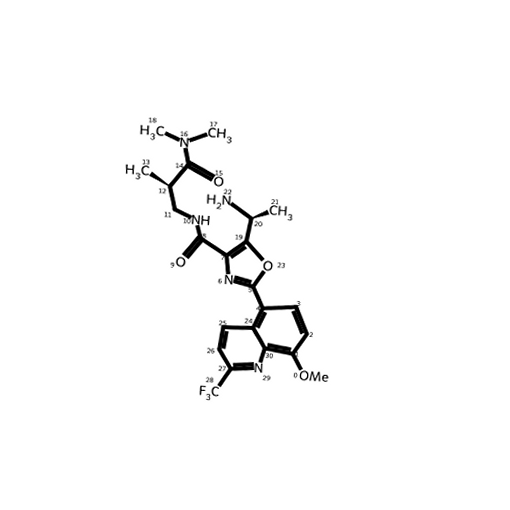 COc1ccc(-c2nc(C(=O)NC[C@@H](C)C(=O)N(C)C)c([C@H](C)N)o2)c2ccc(C(F)(F)F)nc12